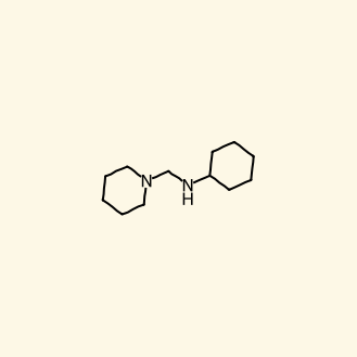 C1CCC(NCN2CCCCC2)CC1